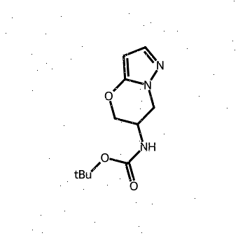 CC(C)(C)OC(=O)NC1COc2ccnn2C1